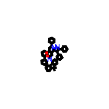 CC1(C)c2ccccc2-c2c(N(c3ccc4cc(-c5ccccc5)n5nc(-c6ccccc6)c(-c6ccccc6)c5c4c3)c3ccccc3-c3ccccc3)cccc21